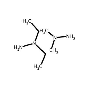 CCN(N)CC.CN(C)N